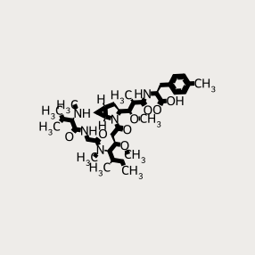 CC[C@H](C)[C@@H]([C@@H](CC(=O)N1[C@H]2C[C@H]2C[C@H]1[C@H](OC)[C@@H](C)C(=O)N[C@@H](Cc1ccc(C)cc1)C(=O)O)OC)N(C)C(=O)CNC(=O)[C@@H](NC)C(C)C